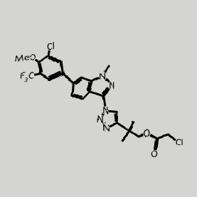 COc1c(Cl)cc(-c2ccc3c(-n4cc(C(C)(C)COC(=O)CCl)nn4)nn(C)c3c2)cc1C(F)(F)F